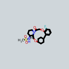 CS(=O)(=O)NC1CCCN2C(=O)COc3c(F)cccc3C3CCC(CC3)OC[C@@H]12